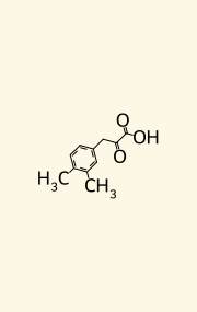 Cc1ccc(CC(=O)C(=O)O)cc1C